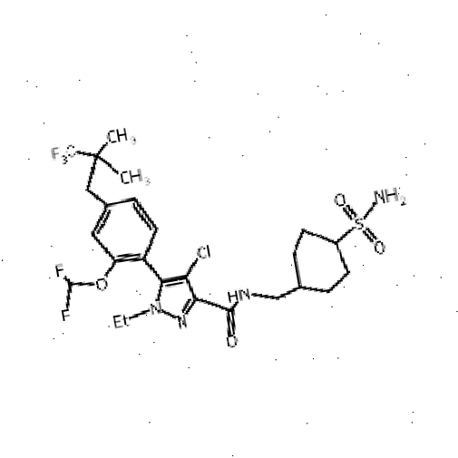 CCn1nc(C(=O)NCC2CCC(S(N)(=O)=O)CC2)c(Cl)c1-c1ccc(CC(C)(C)C(F)(F)F)cc1OC(F)F